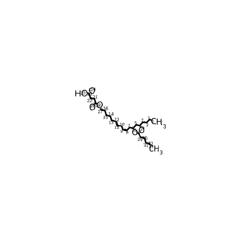 CCCCCCC(C/C=C\CCCCCCCCOC(=O)CCC(=O)O)OC(=O)CCCCC